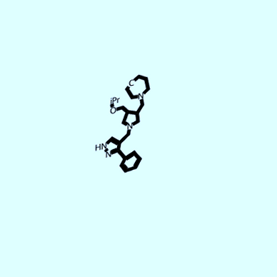 CC(C)OCC1CN(Cc2c[nH]nc2-c2ccccc2)CC1CN1CCCCCC1